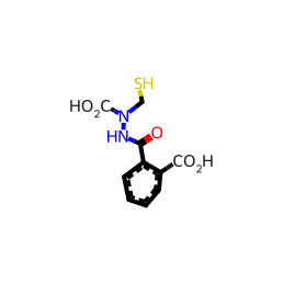 O=C(O)c1ccccc1C(=O)NN(CS)C(=O)O